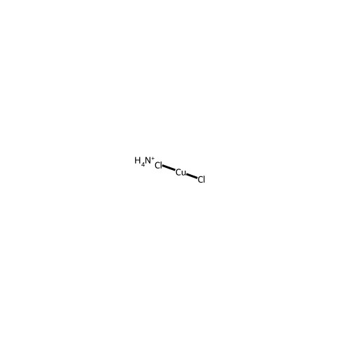 [Cl][Cu][Cl].[NH4+]